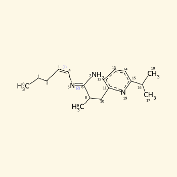 CCC/C=C\N=C(/N)C(C)Cc1cccc(C(C)C)n1